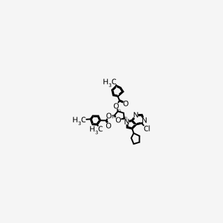 Cc1ccc(C(=O)O[C@H]2C[C@H](n3cc(C4CCCC4)c4c(Cl)ncnc43)O[C@@H]2OC(=O)c2ccc(C)cc2C)cc1